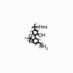 CCCCCCC(C)(C)c1cc(O)c2c(c1)OC(C)(C)[C@H]1CC=C(CN)CC21